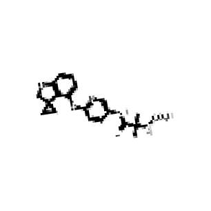 CC(C)(NC(=O)O)C(=O)Nc1ccc(Oc2cccc3c2C2(CC2)CO3)nc1